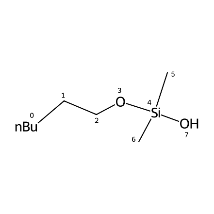 CCCCCCO[Si](C)(C)O